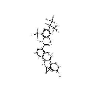 O=C(Nc1c(Br)cc(C(F)(C(F)(F)F)C(F)(F)F)cc1C(F)(F)F)c1cccc(N(CC2CC2)C(=O)c2ccc(F)cc2)c1F